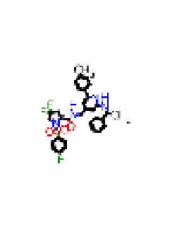 Cc1ccc(-c2cc(CNC(=O)[C@@H]3CC(F)(F)CN3S(=O)(=O)c3ccc(F)cc3)cc(NC(C)c3ccccc3)n2)cc1